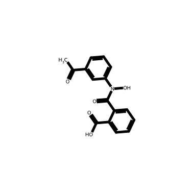 CC(=O)c1cccc(N(O)C(=O)c2ccccc2C(=O)O)c1